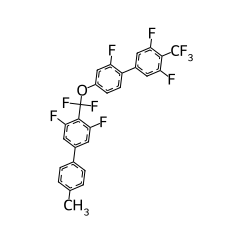 Cc1ccc(-c2cc(F)c(C(F)(F)Oc3ccc(-c4cc(F)c(C(F)(F)F)c(F)c4)c(F)c3)c(F)c2)cc1